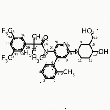 Cc1ccccc1-c1cc(N2CCC(O)C(CO)C2)ncc1N(C)C(=O)C(C)(C)c1cc(C(F)(F)F)cc(C(F)(F)F)c1